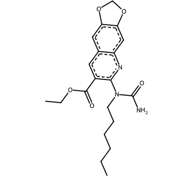 CCCCCCN(C(N)=O)c1nc2cc3c(cc2cc1C(=O)OCC)OCO3